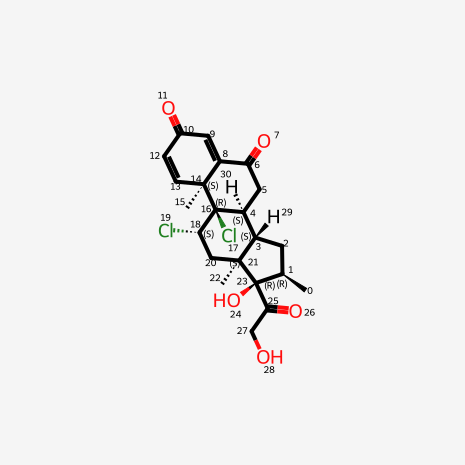 C[C@@H]1C[C@H]2[C@@H]3CC(=O)C4=CC(=O)C=C[C@]4(C)[C@@]3(Cl)[C@@H](Cl)C[C@]2(C)[C@@]1(O)C(=O)CO